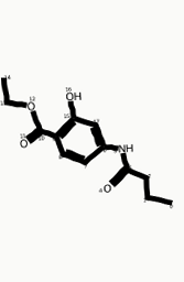 CCCC(=O)Nc1ccc(C(=O)OCC)c(O)c1